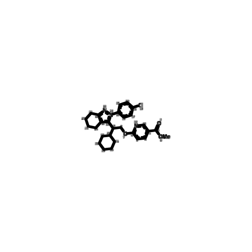 COC(=O)c1ccc(OCC(c2c3c(nn2-c2ccc(Cl)cc2)CCCC3)C2CCCCC2)nc1